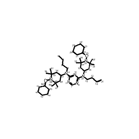 CCCCN(c1ncnc(N(CCCC)C2CC(C)(C)N(OC3CCCCC3)C(C)(C)C2)n1)C1CC(C)(C)N(OC2CCCCC2)C(C)(C)C1